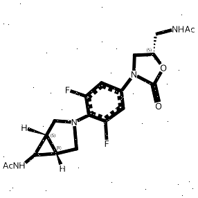 CC(=O)NC[C@H]1CN(c2cc(F)c(N3C[C@@H]4C(NC(C)=O)[C@@H]4C3)c(F)c2)C(=O)O1